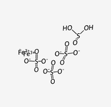 O=S(=O)([O-])[O-].O=S(=O)([O-])[O-].O=S(=O)([O-])[O-].O=S(O)O.[Fe+3].[Fe+3]